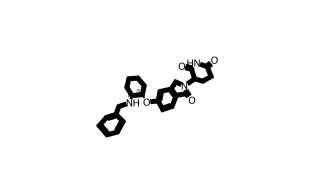 O=C1CCC(N2Cc3cc(O[C@H]4CCCC[C@@H]4NCc4ccccc4)ccc3C2=O)C(=O)N1